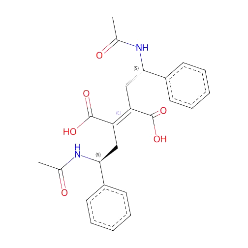 CC(=O)N[C@@H](C/C(C(=O)O)=C(/C[C@H](NC(C)=O)c1ccccc1)C(=O)O)c1ccccc1